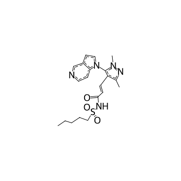 CCCCCS(=O)(=O)NC(=O)C=Cc1c(C)nn(C)c1-n1ccc2cnccc21